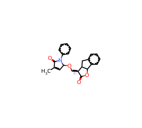 CC1=CC(O/C=C2/C(=O)OC3c4ccccc4CC23)N(c2ccccc2)C1=O